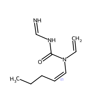 C=CN(/C=C\CCC)C(=O)NC=N